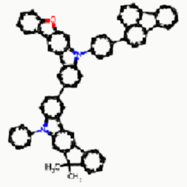 CC1(C)c2ccccc2-c2cc3c4cc(-c5ccc6c(c5)c5cc7c(cc5n6-c5ccc(-c6ccc8c9c(cccc69)-c6ccccc6-8)cc5)oc5ccccc57)ccc4n(-c4ccccc4)c3cc21